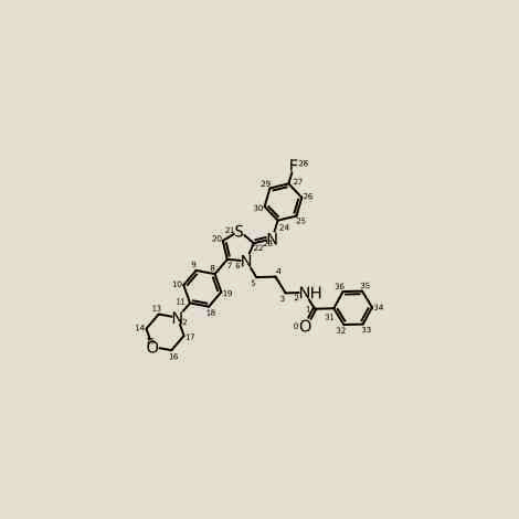 O=C(NCCCn1c(-c2ccc(N3CCOCC3)cc2)csc1=Nc1ccc(F)cc1)c1ccccc1